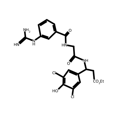 CCOC(=O)CC(NC(=O)CNC(=O)c1cccc(NC(=N)N)c1)c1cc(Cl)c(O)c(Cl)c1